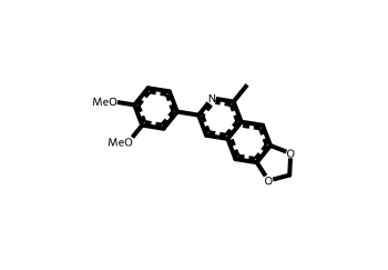 COc1ccc(-c2cc3cc4c(cc3c(C)n2)OCO4)cc1OC